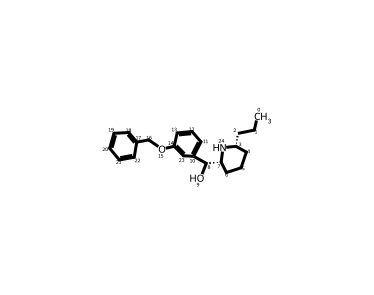 CCC[C@@H]1CCC[C@H](C(O)c2cccc(OCc3ccccc3)c2)N1